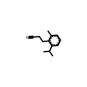 Cc1cccc(C(C)C)c1CCC#N